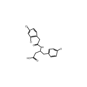 O=C(O)CC(Cc1ccc(Cl)cc1)NC(=O)Cc1ccc(Cl)cc1Cl